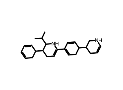 CC(C)C1NC(C2=CCC(C3CC=CNC3)C=C2)=CCC1C1C=CC=CC1